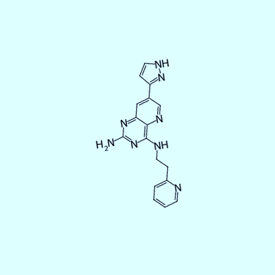 Nc1nc(NCCc2ccccn2)c2ncc(-c3cc[nH]n3)cc2n1